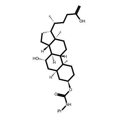 C=C(O)CC[C@@H](C)[C@H]1CC[C@H]2[C@@H]3[C@@H](O)C[C@@H]4C[C@H](OC(=O)NC(C)C)CC[C@]4(C)[C@H]3CC[C@]12C